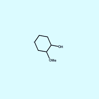 COC1C[CH]CCC1O